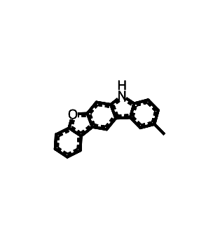 Cc1ccc2[nH]c3cc4oc5ccccc5c4cc3c2c1